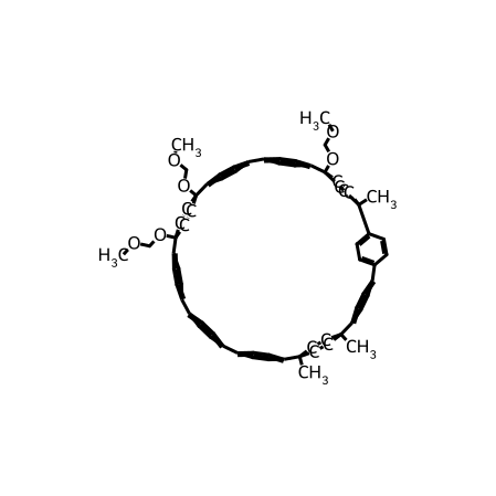 COCOC12CCC(C)(CC1)c1ccc(cc1)-c1ccc(cc1)C1(C)CCC(C)(CC1)c1ccc(cc1)-c1ccc(cc1)-c1ccc(cc1)C1(OCOC)CCC(OCOC)(CC1)c1ccc(cc1)-c1ccc2cc1